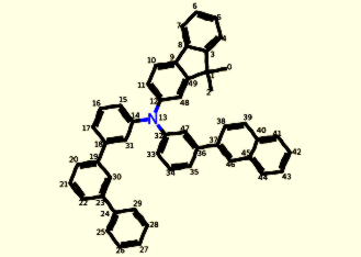 CC1(C)c2ccccc2-c2ccc(N(c3cccc(-c4cccc(-c5ccccc5)c4)c3)c3cccc(-c4ccc5ccccc5c4)c3)cc21